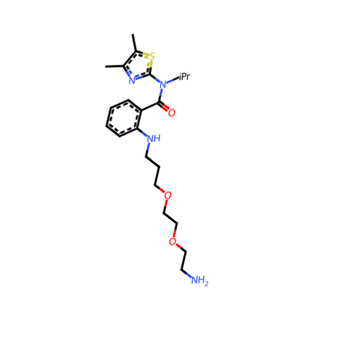 Cc1nc(N(C(=O)c2ccccc2NCCCOCCOCCN)C(C)C)sc1C